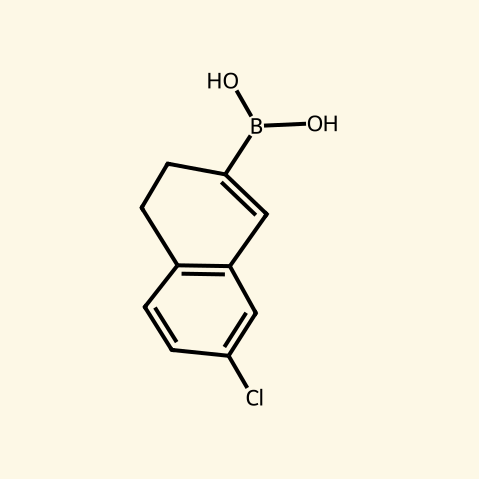 OB(O)C1=Cc2cc(Cl)ccc2CC1